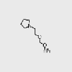 CCCOCOCCN1CCCC1